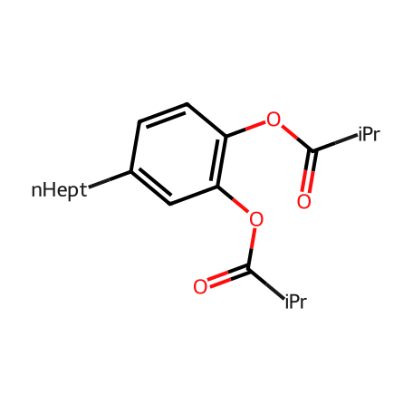 CCCCCCCc1ccc(OC(=O)C(C)C)c(OC(=O)C(C)C)c1